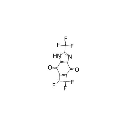 O=C1C2=C(C(=O)c3[nH]c(C(F)(F)F)nc31)C(F)C2(F)F